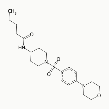 CCCCC(=O)NC1CCN(S(=O)(=O)c2ccc(N3CCOCC3)cc2)CC1